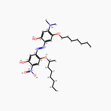 CCCCCCCOc1cc(N=Nc2cc(O)c([N+](=O)[O-])cc2OC(C)CCCCCC)c(O)cc1N(C)C